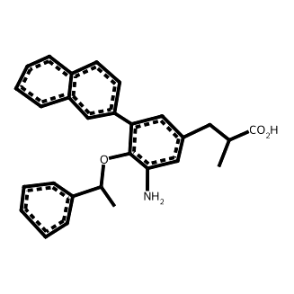 CC(Cc1cc(N)c(OC(C)c2ccccc2)c(-c2ccc3ccccc3c2)c1)C(=O)O